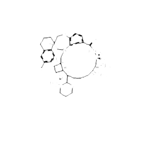 CO[C@@]1(C2SCCCS2)CCC[C@H](C)[C@@H](C)S(=O)(=O)NC(=O)c2ccc3c(c2)N(C[C@@H]2CC[C@H]21)C[C@@]1(CCCc2cc(Cl)ccc21)CO3